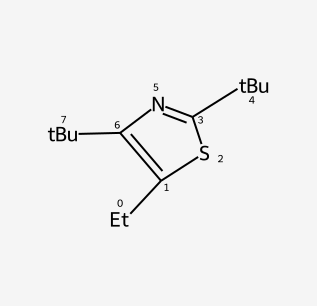 CCc1sc(C(C)(C)C)nc1C(C)(C)C